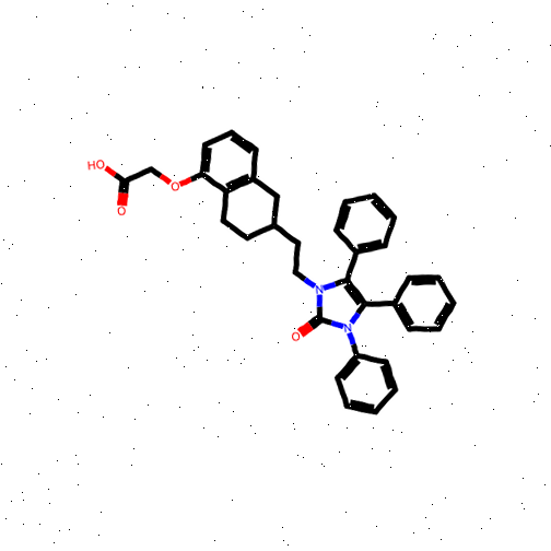 O=C(O)COc1cccc2c1CCC(CCn1c(-c3ccccc3)c(-c3ccccc3)n(-c3ccccc3)c1=O)C2